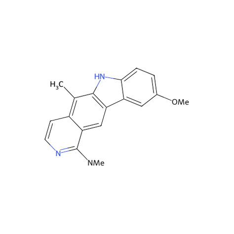 CNc1nccc2c(C)c3[nH]c4ccc(OC)cc4c3cc12